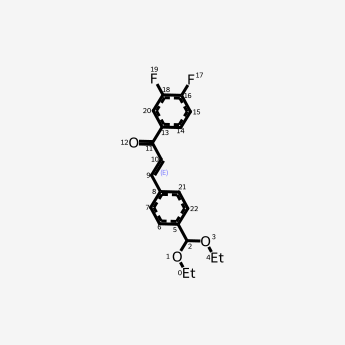 CCOC(OCC)c1ccc(/C=C/C(=O)c2ccc(F)c(F)c2)cc1